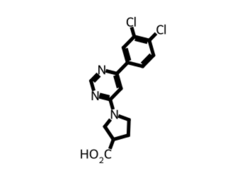 O=C(O)C1CCN(c2cc(-c3ccc(Cl)c(Cl)c3)ncn2)C1